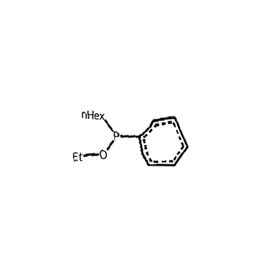 CCCCCCP(OCC)c1ccccc1